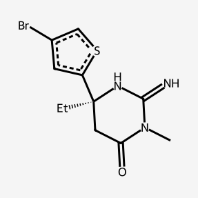 CC[C@@]1(c2cc(Br)cs2)CC(=O)N(C)C(=N)N1